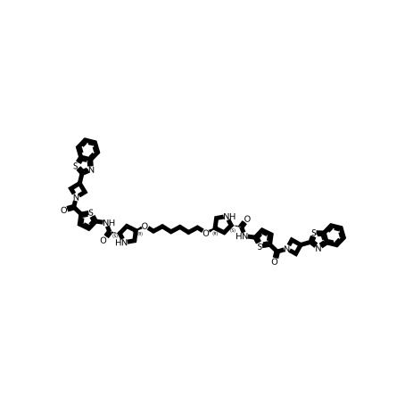 O=C(Nc1ccc(C(=O)N2CC(c3nc4ccccc4s3)C2)s1)[C@@H]1C[C@@H](OCCCCCCO[C@H]2CN[C@H](C(=O)Nc3ccc(C(=O)N4CC(c5nc6ccccc6s5)C4)s3)C2)CN1